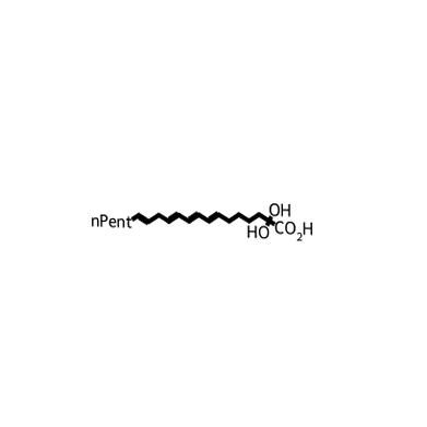 CCCCCC=CCC=CC=CC=CCCCCC(O)(O)C(=O)O